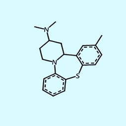 Cc1ccc2c(c1)C1CC(N(C)C)CCN1c1ccccc1S2